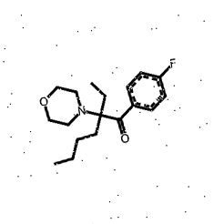 CCCCC(CC)(C(=O)c1ccc(F)cc1)N1CCOCC1